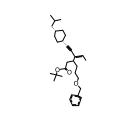 CC=C(C#C[C@H]1CC[C@@H](CC(C)C)CC1)C(CCCOCc1ccccc1)CC(=O)OC(C)(C)C